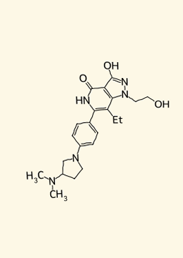 CCc1c(-c2ccc(N3CCC(N(C)C)C3)cc2)[nH]c(=O)c2c(O)nn(CCO)c12